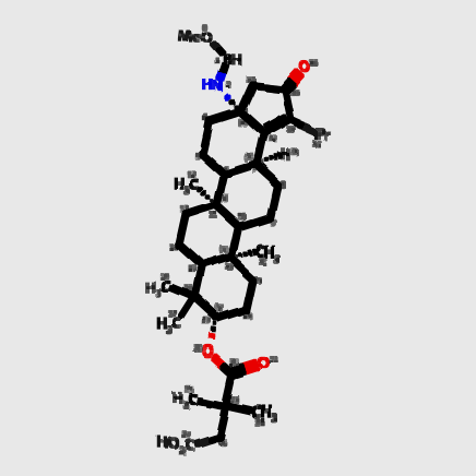 COBN[C@@]12CCC3[C@H](CCC4[C@@]3(C)CCC3C(C)(C)[C@@H](OC(=O)C(C)(C)CC(=O)O)CC[C@@]34C)C1=C(C(C)C)C(=O)C2